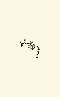 O=S(=O)(CCC(F)=C(F)F)c1ncc(/C=N\OCC2CCC2)s1